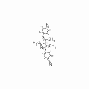 Cc1nn(-c2ccc(C#N)cc2)c(C)c1C(C)Sc1ccc(F)cc1